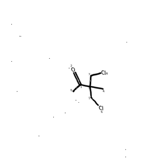 CC(=O)C(C)(CCl)CCl